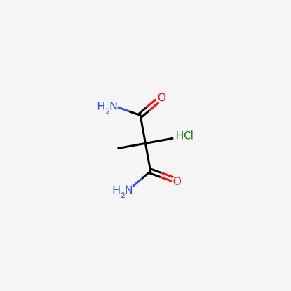 CC(C)(C(N)=O)C(N)=O.Cl